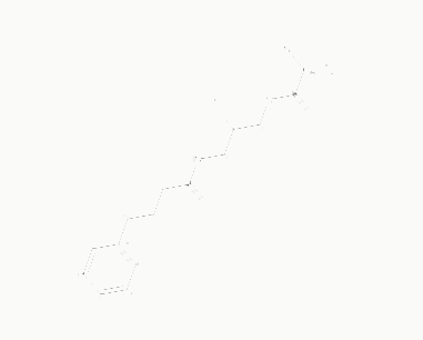 C[C@@H](N)C(=O)NCC(O)CNC(=O)CCCc1ccccc1